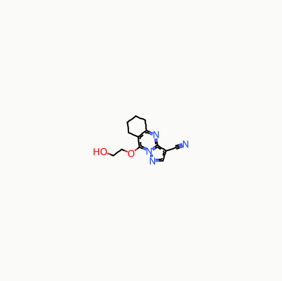 N#Cc1cnn2c(OCCO)c3c(nc12)CCCC3